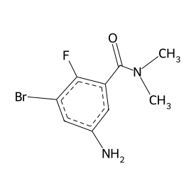 CN(C)C(=O)c1cc(N)cc(Br)c1F